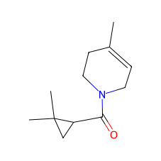 CC1=CCN(C(=O)C2CC2(C)C)CC1